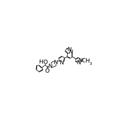 Cn1cc(-c2cc(-c3ccc(N4CCN(C(=O)C(O)c5ccccc5)CC4)nc3)c3ccnn3c2)cn1